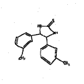 Cc1cccc(C2NC(=S)NC2c2cccc(C)c2)c1